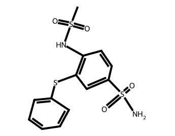 CS(=O)(=O)Nc1ccc(S(N)(=O)=O)cc1Sc1ccccc1